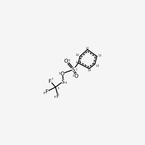 O=S(=O)(OSC(F)(F)F)c1ccccc1